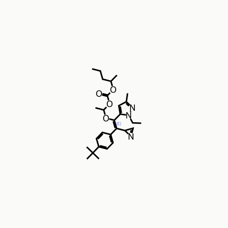 CCCC(C)OC(=O)OC(C)O/C(=C(\c1ccc(C(C)(C)C)cc1)C1C=N1)c1cc(C)nn1CC